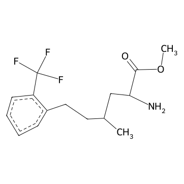 COC(=O)C(N)CC(C)CCc1ccccc1C(F)(F)F